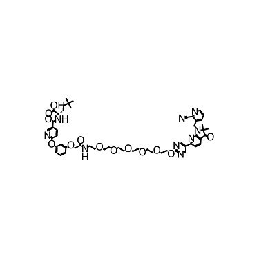 CC(C)(C)CC[C@H](NC(=O)c1ccc(Oc2cccc(OCC(=O)NCCOCCOCCOCCOCCOCCOc3ncc(-c4ccc5c(n4)N(Cc4cccnc4C#N)C(C)(C)C5=O)cn3)c2)nc1)C(=O)O